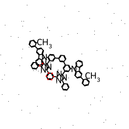 Cc1ccccc1-c1ccc2c(c1)c1ccccc1n2-c1cc(-c2cccc(-c3ccc(-n4c5ccccc5c5cc(-c6ccccc6C)ccc54)c(-c4nc(-c5ccccc5)nc(-c5ccccc5)n4)c3)c2)cc(-c2nc(-c3ccccc3)nc(-c3ccccc3)n2)c1